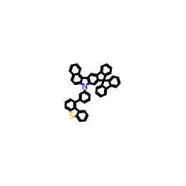 c1cc(-c2cccc3sc4ccccc4c23)cc(-n2c3cc4c(cc3c3c5ccccc5ccc32)-c2ccccc2C42c3ccccc3-c3ccccc32)c1